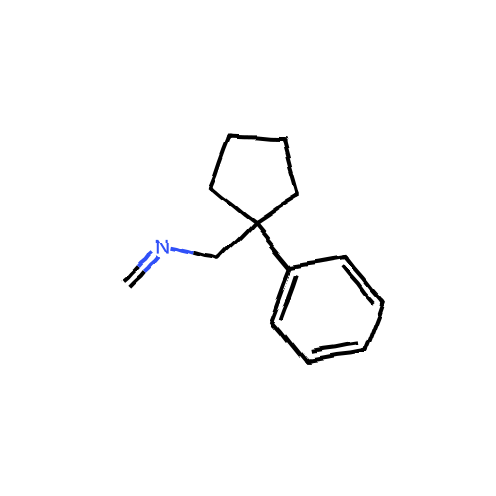 C=NCC1(c2ccccc2)CCCC1